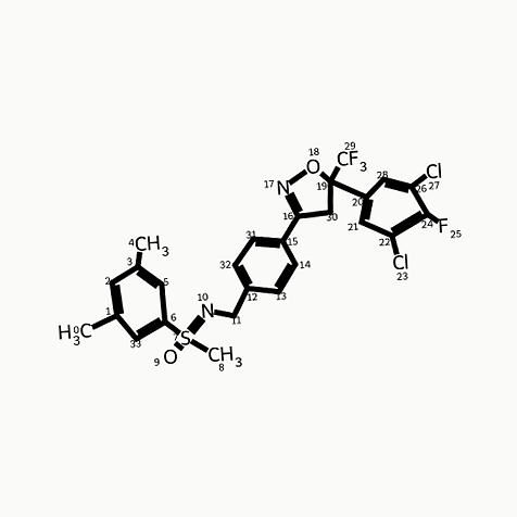 Cc1cc(C)cc(S(C)(=O)=NCc2ccc(C3=NOC(c4cc(Cl)c(F)c(Cl)c4)(C(F)(F)F)C3)cc2)c1